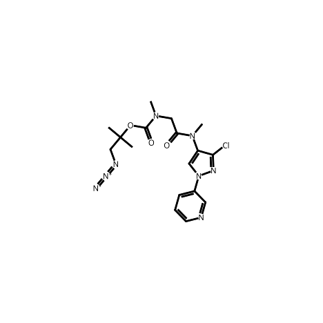 CN(CC(=O)N(C)c1cn(-c2cccnc2)nc1Cl)C(=O)OC(C)(C)CN=[N+]=[N-]